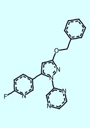 Fc1ccc(-c2cc(OCc3ccccc3)nn2-c2cnccn2)cn1